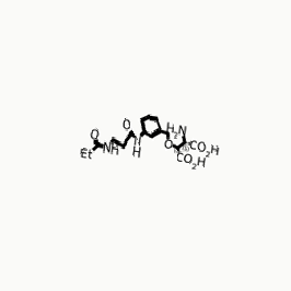 CCC(=O)NCCC(=O)Nc1cccc(CO[C@H](C(=O)O)[C@H](N)C(=O)O)c1